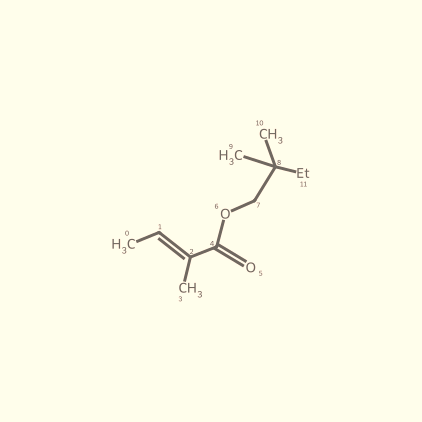 CC=C(C)C(=O)OCC(C)(C)CC